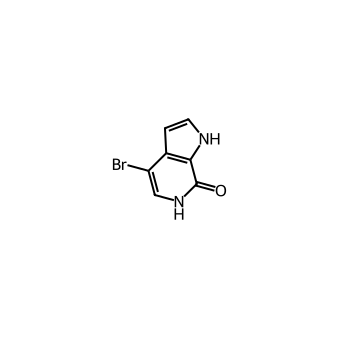 O=c1[nH]cc(Br)c2cc[nH]c12